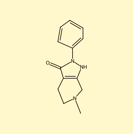 CN1CCc2c([nH]n(-c3ccccc3)c2=O)C1